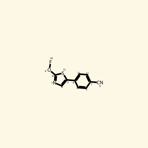 N#Cc1ccc(-c2cnc(OF)s2)cc1